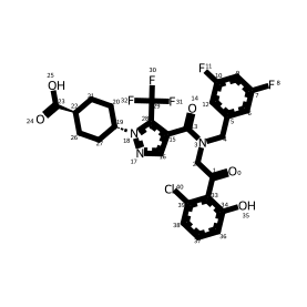 O=C(CN(Cc1cc(F)cc(F)c1)C(=O)c1cnn([C@H]2CC[C@H](C(=O)O)CC2)c1C(F)(F)F)c1c(O)cccc1Cl